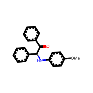 COc1ccc(N[C@H](C(=O)c2ccccc2)c2ccccc2)cc1